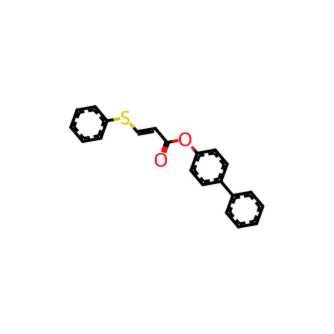 O=C(C=CSc1ccccc1)Oc1ccc(-c2ccccc2)cc1